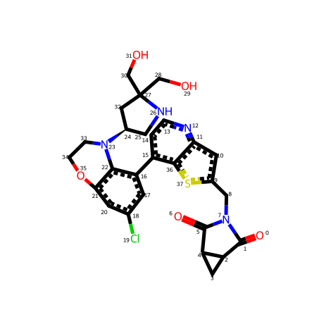 O=C1C2CC2C(=O)N1Cc1cc2nccc(-c3cc(Cl)cc4c3N([C@@H]3CNC(CO)(CO)C3)CCO4)c2s1